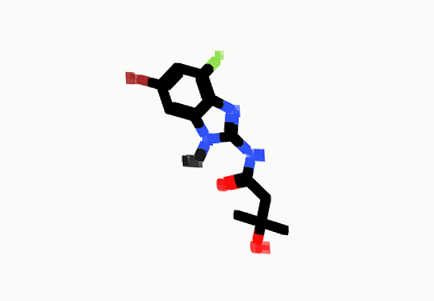 CC(C)(O)CC(=O)Nc1nc2c(F)cc(Br)cc2n1C(C)(C)C